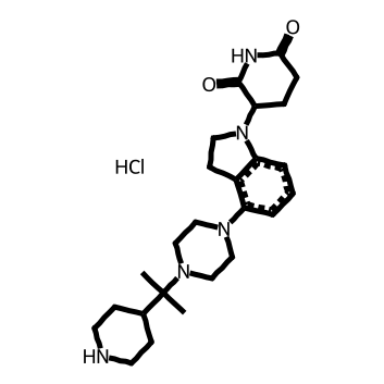 CC(C)(C1CCNCC1)N1CCN(c2cccc3c2CCN3C2CCC(=O)NC2=O)CC1.Cl